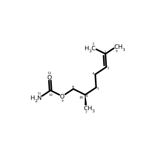 CC(C)=CCC[C@@H](C)COC(N)=O